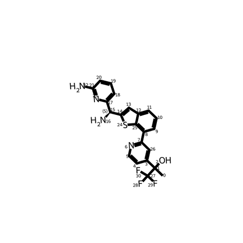 CC(O)(c1ccnc(-c2cccc3cc([C@@H](N)c4cccc(N)n4)sc23)c1)C(F)(F)F